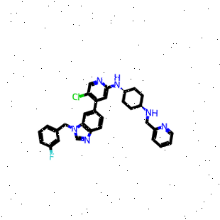 Fc1cccc(Cn2cnc3ccc(-c4cc(N[C@H]5CC[C@H](NCc6ccccn6)CC5)ncc4Cl)cc32)c1